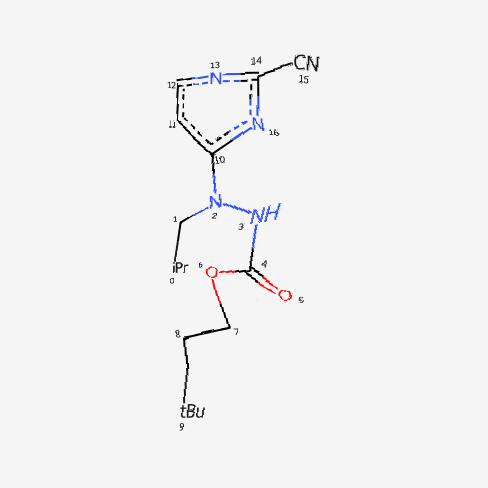 CC(C)CN(NC(=O)OCCC(C)(C)C)c1ccnc(C#N)n1